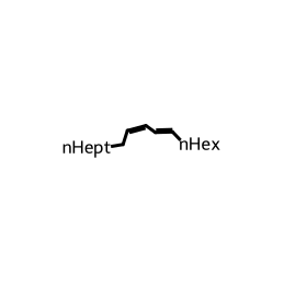 [CH2]CCCCCCC/C=C\C=C\CCCCCC